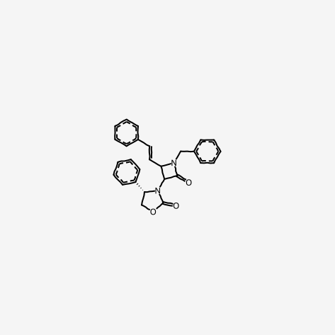 O=C1C(N2C(=O)OC[C@@H]2c2ccccc2)C(C=Cc2ccccc2)N1Cc1ccccc1